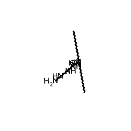 CCCCCCCCCCCCCCCCCCN(CCCCCCCCCCCCCCCCCC)NC(C)C(=O)NCCCNCCCCNCCCN